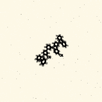 N#Cc1ccc2c(c1)c1cc(-n3c4ccccc4c4ccccc43)ccc1n2-c1cccc(-c2ccc(-n3c4ccccc4c4ccccc43)c(C#N)c2)c1